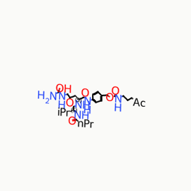 CCCC(=O)N[C@H](C(=O)N[C@@H](CCCNC(N)O)C(=O)Nc1ccc(COC(=O)NCCCC(C)=O)cc1)C(C)C